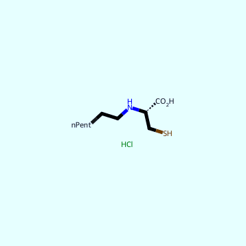 CCCCCCCN[C@@H](CS)C(=O)O.Cl